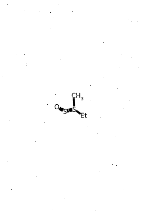 CCS(C)=S=O